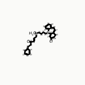 CN(C/C=C/C(=O)CCc1ccccc1)CCCCN1C2=CC(Cl)=CCC2=CCc2ccccc21